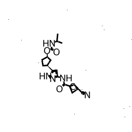 CC(C)NC(=O)O[C@@H]1CC[C@H](c2cc(NC(=O)C34CC(C#N)(C3)C4)n[nH]2)C1